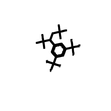 CC(C)(C)CC(c1cc(C(F)(F)F)cc(C(F)(F)F)c1)C(C)(C)C